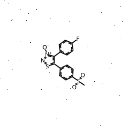 CS(=O)(=O)c1ccc(-c2sn[n+]([O-])c2-c2ccc(F)cc2)cc1